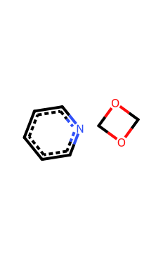 C1OCO1.c1ccncc1